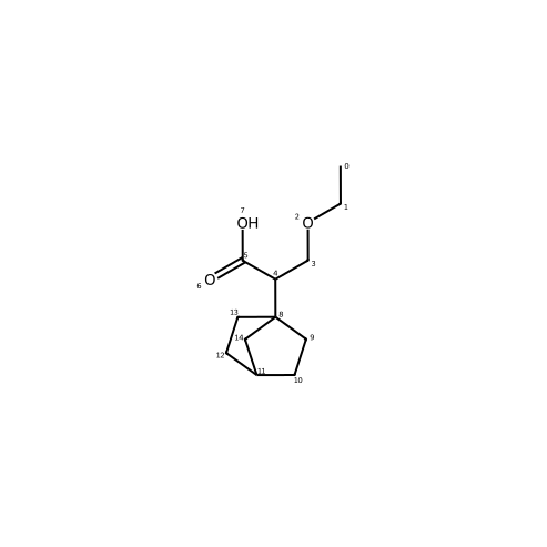 CCOCC(C(=O)O)C12CCC(CC1)C2